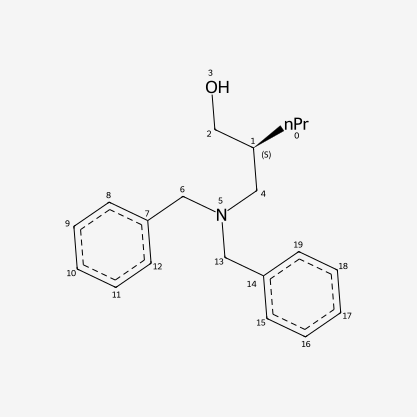 CCC[C@H](CO)CN(Cc1ccccc1)Cc1ccccc1